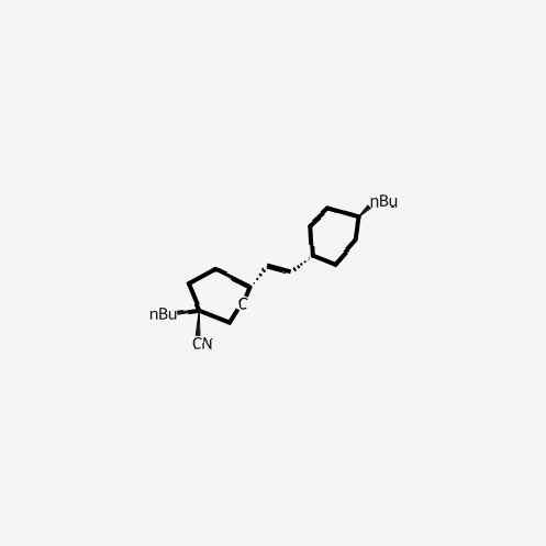 CCCC[C@H]1CC[C@H](CC[C@H]2CC[C@@](C#N)(CCCC)CC2)CC1